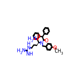 COc1ccc(CN(C(=O)C(c2ccccc2)c2ccccc2)[C@@H](CCCNC(=N)N)C(N)=O)cc1